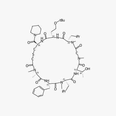 CC(C)C[C@H]1C(=O)N[C@@H](CCOC(C)(C)C)C(=O)N[C@H](C(=O)N2CCCCC2)CSCC(=O)N(C)[C@@H](C)C(=O)N[C@@H](Cc2ccccc2)C(=O)N(C)[C@@H](CC(C)C)C(=O)N[C@@H]([C@@H](C)O)C(=O)N(C)CC(=O)N1C